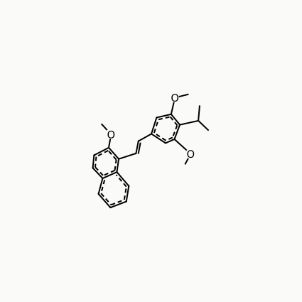 COc1cc(C=Cc2c(OC)ccc3ccccc23)cc(OC)c1C(C)C